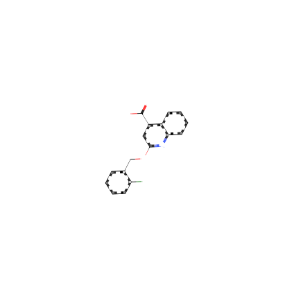 O=C(O)c1cc(OCc2ccccc2Cl)nc2ccccc12